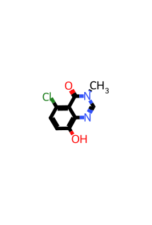 Cn1cnc2c(O)ccc(Cl)c2c1=O